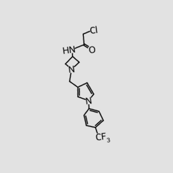 O=C(CCl)NC1CN(Cc2ccn(-c3ccc(C(F)(F)F)cc3)c2)C1